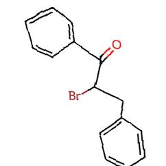 O=C(c1ccccc1)C(Br)Cc1ccccc1